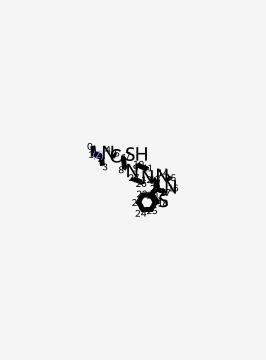 C/C=C(/C)N=C=C(S)CN1CCN(c2ncnc3sc4c(c23)CCCC4)CC1